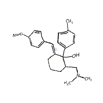 COc1ccc(/C=C2\CCCC(CN(C)C)C2(O)c2ccc(C)cc2)cc1